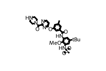 COc1c(NC(=O)c2cc(C)cc(Oc3ccnc(C(=O)N4CCNCC4)n3)c2)cc(C(C)(C)C)cc1NS(C)(=O)=O